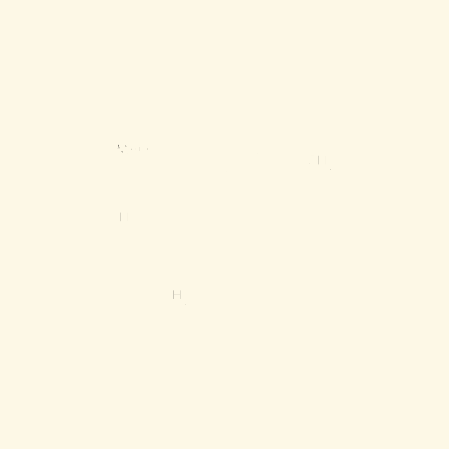 C=CCc1cc(CC=C)c(O)c(OC)c1